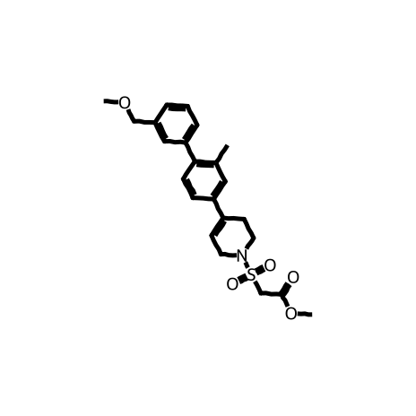 COCc1cccc(-c2ccc(C3=CCN(S(=O)(=O)CC(=O)OC)CC3)cc2C)c1